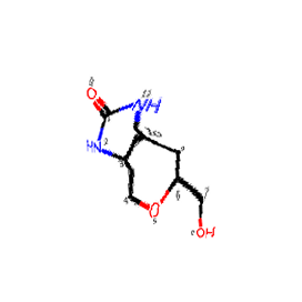 O=C1NC2COC(CO)CC2N1